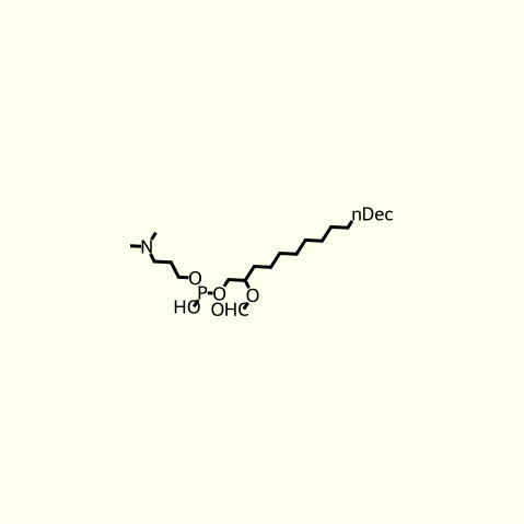 CCCCCCCCCCCCCCCCCCC(COP(O)OCCCN(C)C)OC=O